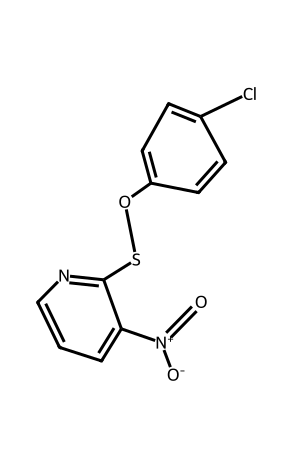 O=[N+]([O-])c1cccnc1SOc1ccc(Cl)cc1